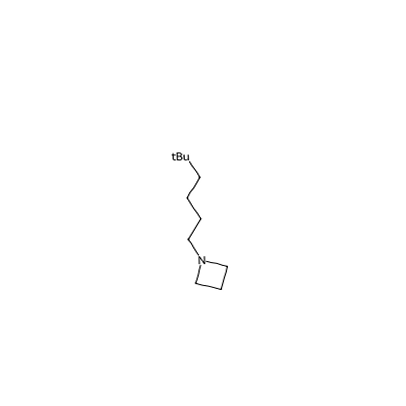 CC(C)(C)CCCCN1CCC1